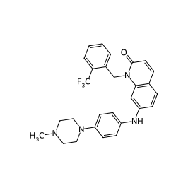 CN1CCN(c2ccc(Nc3ccc4ccc(=O)n(Cc5ccccc5C(F)(F)F)c4c3)cc2)CC1